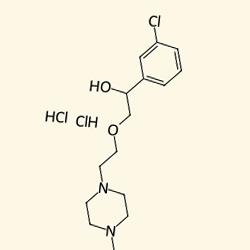 CN1CCN(CCOCC(O)c2cccc(Cl)c2)CC1.Cl.Cl